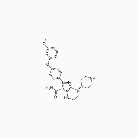 COc1cccc(Oc2ccc(-n3nc4c(c3C(N)=O)NCC[C@@H]4N3CCNCC3)cc2)c1